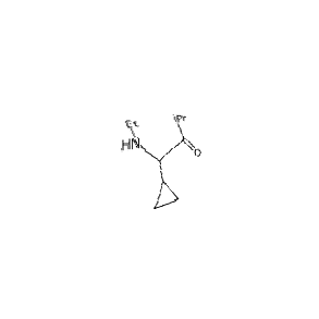 CCNC(C(=O)C(C)C)C1CC1